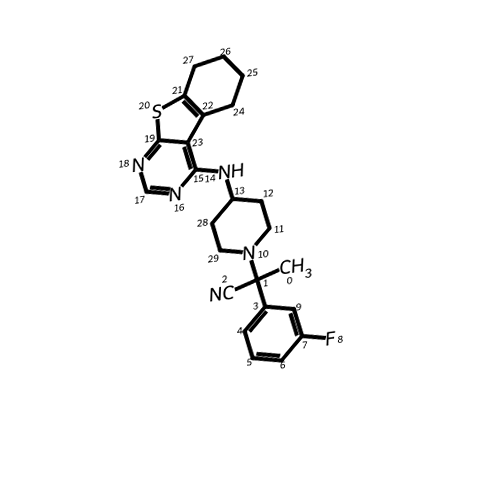 CC(C#N)(c1cccc(F)c1)N1CCC(Nc2ncnc3sc4c(c23)CCCC4)CC1